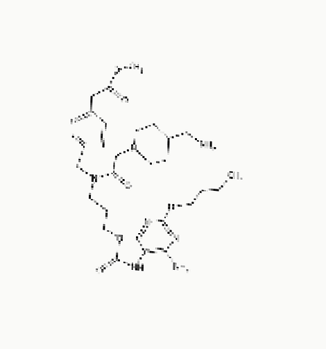 CCCCOc1nc(N)c2[nH]c(=O)n(CCCN(Cc3ccc(CC(=O)OC)cc3)C(=O)CN3CCC(CN)CC3)c2n1